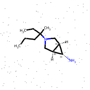 CCCC(C)(CC)N1C[C@@H]2[C@@H](N)[C@@H]2C1